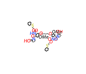 COc1cc(C(=O)N2CCC[C@H]2CO)c(NC(=O)OCCSc2ccccc2)cc1OCCCCCOc1cc(NC(=O)OCCSc2ccccc2)c(C(=O)N2CCC[C@H]2CO)cc1OC